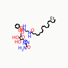 CC/C=C\C/C=C\C/C=C\C/C=C\C/C=C\C/C=C\CCC(=O)NCCNP(=O)(OCC1O[C@@H](n2cnc(C(N)=O)n2)[C@H](O)[C@@H]1O)Oc1ccccc1